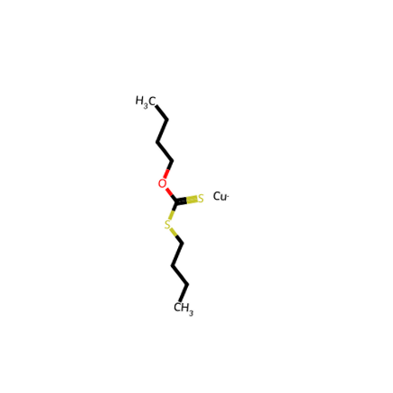 CCCCOC(=S)SCCCC.[Cu]